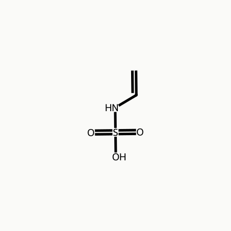 C=CNS(=O)(=O)O